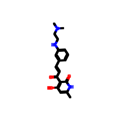 Cc1cc(O)c(C(=O)/C=C/c2cccc(NCCN(C)C)c2)c(=O)[nH]1